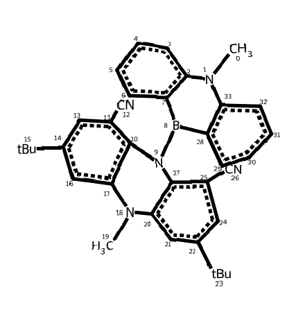 CN1c2ccccc2B(N2c3c(C#N)cc(C(C)(C)C)cc3N(C)c3cc(C(C)(C)C)cc(C#N)c32)c2ccccc21